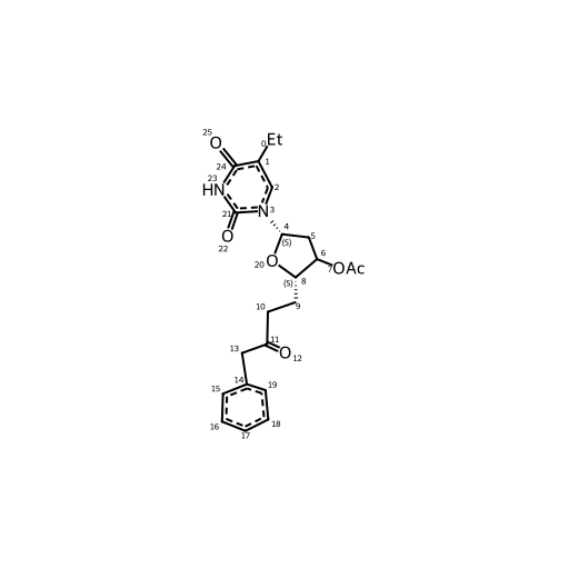 CCc1cn([C@@H]2CC(OC(C)=O)[C@H](CCC(=O)Cc3ccccc3)O2)c(=O)[nH]c1=O